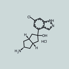 Cl.N[C@H]1C[C@@H]2CC(O)(c3cc(Cl)cc4[nH]ncc34)C[C@@H]2C1